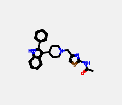 CC(=O)Nc1nc(CN2CCC(c3c(-c4ccccc4)[nH]c4ccccc34)CC2)cs1